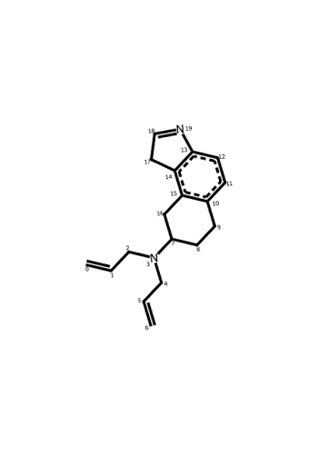 C=CCN(CC=C)C1CCc2ccc3c(c2C1)CC=N3